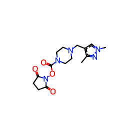 Cc1nn(C)cc1CN1CCN(C(=O)ON2C(=O)CCC2=O)CC1